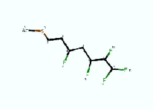 CC(=O)SCCC(F)CC(F)C(F)C(F)F